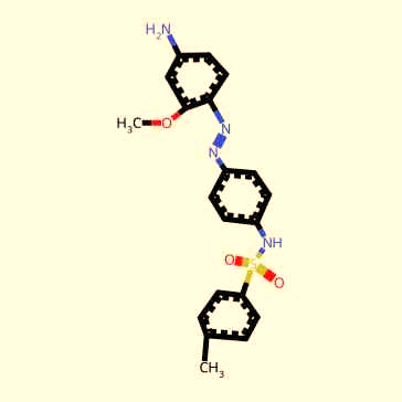 COc1cc(N)ccc1/N=N/c1ccc(NS(=O)(=O)c2ccc(C)cc2)cc1